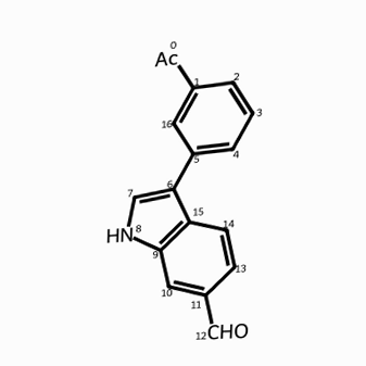 CC(=O)c1cccc(-c2c[nH]c3cc(C=O)ccc23)c1